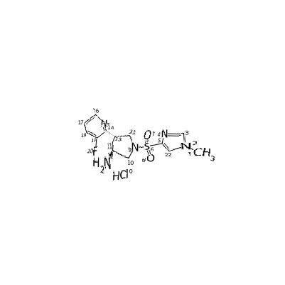 Cl.Cn1cnc(S(=O)(=O)N2C[C@@H](N)[C@H](c3ncccc3F)C2)c1